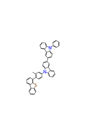 Cc1cc(-n2c3ccccc3c3cc(-c4ccc5c(c4)c4ccccc4n5-c4ccccc4)ccc32)ccc1-c1cccc2c1sc1ccccc12